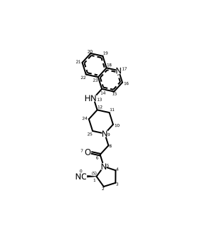 N#C[C@@H]1CCCN1C(=O)CN1CCC(Nc2ccnc3ccccc23)CC1